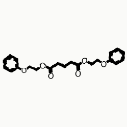 O=C(CCCC(=O)OCCOc1ccccc1)OCCOc1ccccc1